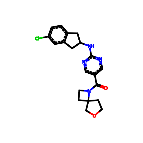 O=C(c1cnc(NC2Cc3ccc(Cl)cc3C2)nc1)N1CCC12CCOC2